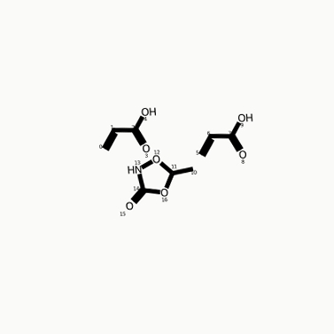 C=CC(=O)O.C=CC(=O)O.CC1ONC(=O)O1